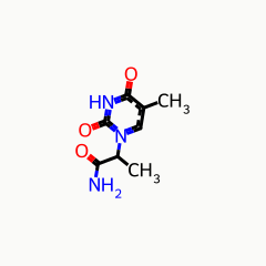 Cc1cn(C(C)C(N)=O)c(=O)[nH]c1=O